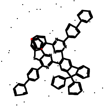 c1ccc(-c2ccc(-c3nc(-c4ccccc4)nc(-c4cc5c(cc4-c4nc(-c6ccc(-c7ccccc7)cc6)c6sc7ccccc7c6n4)C(c4ccccc4)(c4ccccc4)c4ccccc4-5)n3)cc2)cc1